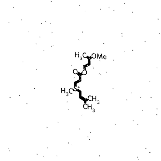 COC(C)CCOC(=O)CC[S+](C)CC=C(C)C